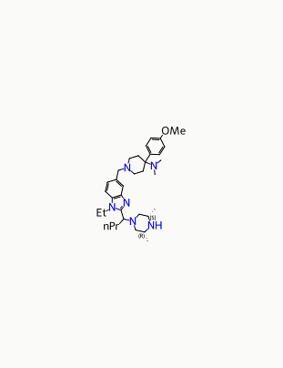 CCCC(c1nc2cc(CN3CCC(c4ccc(OC)cc4)(N(C)C)CC3)ccc2n1CC)N1C[C@@H](C)N[C@@H](C)C1